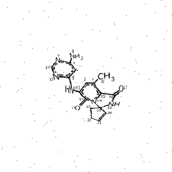 Cc1cc(Nc2cc(N)ncn2)c(=O)n2c1C(=O)NC21C=CCC1